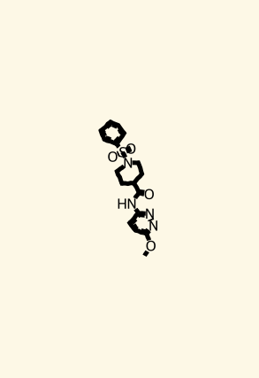 COc1ccc(NC(=O)C2CCN(S(=O)(=O)c3ccccc3)CC2)nn1